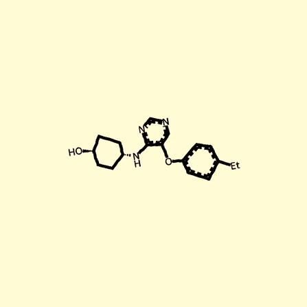 CCc1ccc(Oc2cncnc2N[C@H]2CC[C@H](O)CC2)cc1